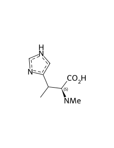 CN[C@H](C(=O)O)C(C)c1c[nH]cn1